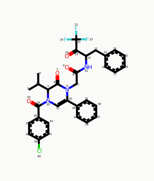 CC(C)C1C(=O)N(CC(=O)NC(Cc2ccccc2)C(=O)C(F)(F)F)C(c2ccccc2)=CN1C(=O)c1ccc(Cl)cc1